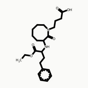 CCOC(=O)C(CCc1ccccc1)NC1CCCCCN(CCCC(=O)O)C1=O